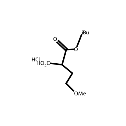 CCC(C)OC(=O)C(CCOC)C(=O)O.Cl